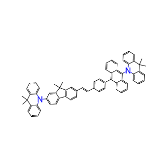 CC1(C)c2cc(/C=C/c3ccc(-c4c5ccccc5c(N5c6ccccc6C(C)(C)c6ccccc65)c5ccccc45)cc3)ccc2-c2ccc(N3c4ccccc4C(C)(C)c4ccccc43)cc21